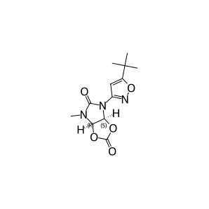 CN1C(=O)N(c2cc(C(C)(C)C)on2)[C@H]2OC(=O)O[C@H]21